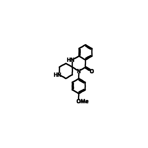 COc1ccc(N2C(=O)c3ccccc3NC23CCNCC3)cc1